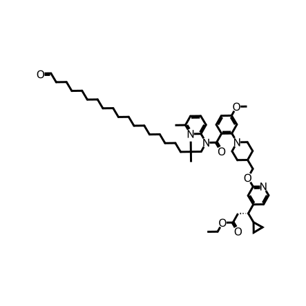 CCOC(=O)C[C@H](c1ccnc(OCC2CCN(c3cc(OC)ccc3C(=O)N(CC(C)(C)CCCCCCCCCCCCCCCCCC=O)c3cccc(C)n3)CC2)c1)C1CC1